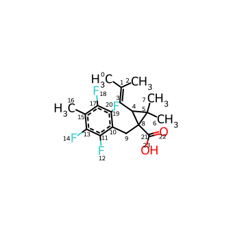 CC(C)=CC1C(C)(C)C1(Cc1c(F)c(F)c(C)c(F)c1F)C(=O)O